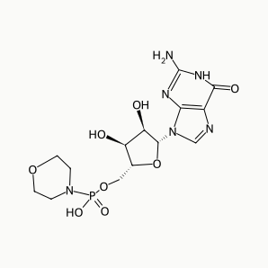 Nc1nc2c(ncn2[C@@H]2O[C@H](COP(=O)(O)N3CCOCC3)[C@@H](O)[C@H]2O)c(=O)[nH]1